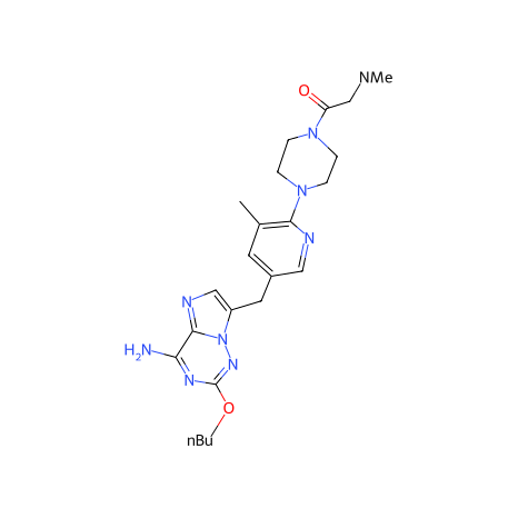 CCCCOc1nc(N)c2ncc(Cc3cnc(N4CCN(C(=O)CNC)CC4)c(C)c3)n2n1